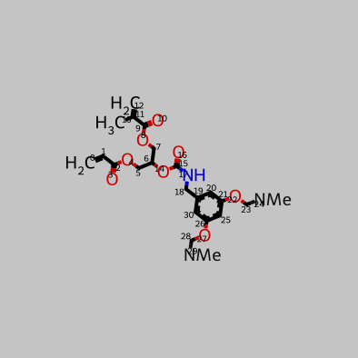 C=CC(=O)OCC(COC(=O)C(=C)C)OC(=O)NCc1cc(OCNC)cc(OCNC)c1